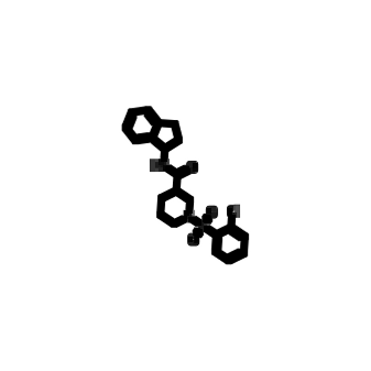 O=C(NC1CCc2ccccc21)C1CCCN(S(=O)(=O)c2ccccc2Cl)C1